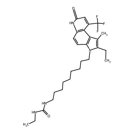 CCNC(=O)NCCCCCCCCCn1c(CC)c(C)c2c3c(C(F)(F)F)cc(=O)[nH]c3ccc21